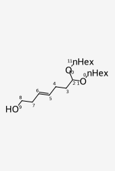 CCCCCCOC(CC/C=C/CCO)OCCCCCC